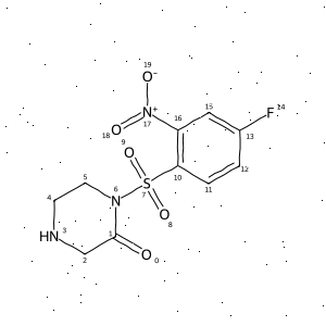 O=C1CNCCN1S(=O)(=O)c1ccc(F)cc1[N+](=O)[O-]